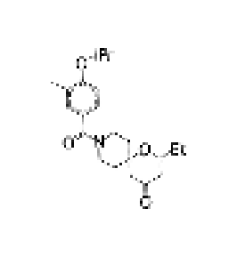 CCC1CC(=O)CC2(CCN(C(=O)c3ccc(OC(C)C)c(C)c3)CC2)O1